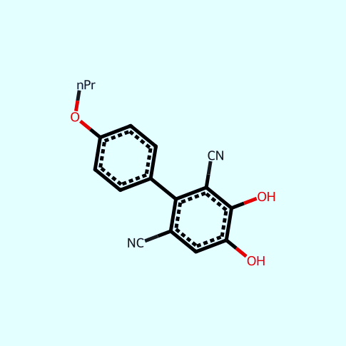 CCCOc1ccc(-c2c(C#N)cc(O)c(O)c2C#N)cc1